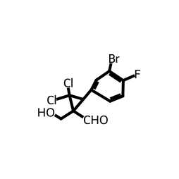 O=CC1(CO)C(c2ccc(F)c(Br)c2)C1(Cl)Cl